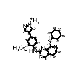 COc1cc(-c2cnn(C)c2)ccc1Nc1ncc2ccnc(SC3CCCCC3)c2n1